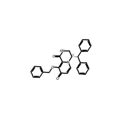 O=C1NC[C@H](C(c2ccccc2)c2ccccc2)n2ccc(=O)c(OCc3ccccc3)c21